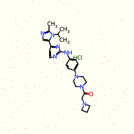 Cc1ncc(-c2ccnc(Nc3ccc(N4CCN(C(=O)CN5CCC5)CC4)cc3)n2)n1C(C)C.Cl